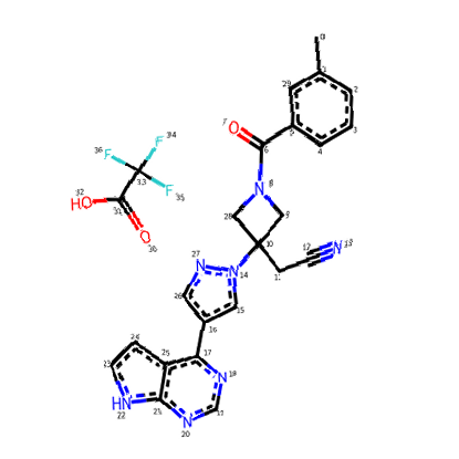 Cc1cccc(C(=O)N2CC(CC#N)(n3cc(-c4ncnc5[nH]ccc45)cn3)C2)c1.O=C(O)C(F)(F)F